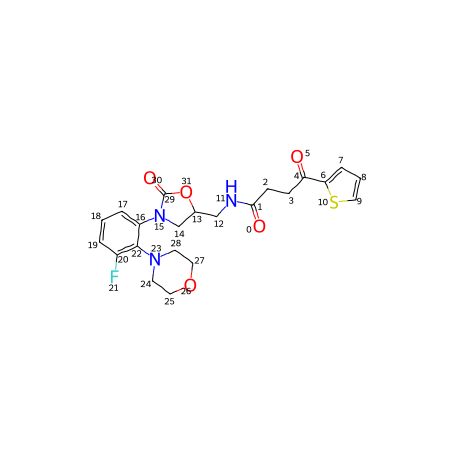 O=C(CCC(=O)c1cccs1)NCC1CN(c2cccc(F)c2N2CCOCC2)C(=O)O1